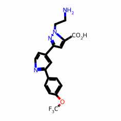 NCCn1nc(-c2ccnc(-c3ccc(OC(F)(F)F)cc3)c2)cc1C(=O)O